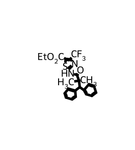 CCOC(=O)c1sc(NC(=O)C(C)(C)C(c2ccccc2)c2ccccc2)nc1C(F)(F)F